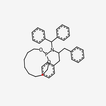 c1ccc(CC(Cc2ccccc2)N(C(c2ccccc2)c2ccccc2)P2OCCCCCCCCO2)cc1